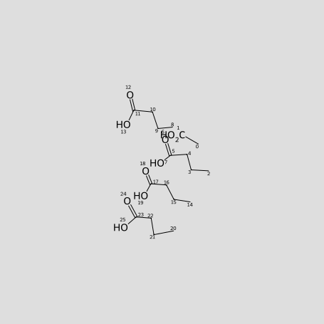 CC(=O)O.CCCC(=O)O.CCCC(=O)O.CCCC(=O)O.CCCC(=O)O